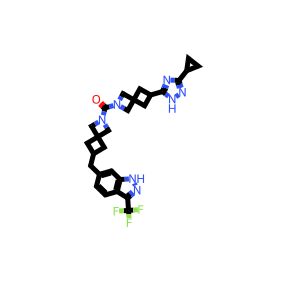 O=C(N1CC2(CC(Cc3ccc4c(C(F)(F)F)n[nH]c4c3)C2)C1)N1CC2(CC(c3nc(C4CC4)n[nH]3)C2)C1